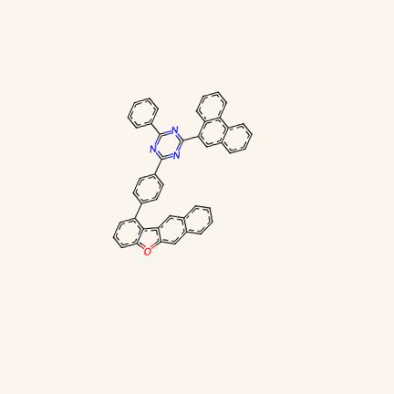 c1ccc(-c2nc(-c3ccc(-c4cccc5oc6cc7ccccc7cc6c45)cc3)nc(-c3cc4ccccc4c4ccccc34)n2)cc1